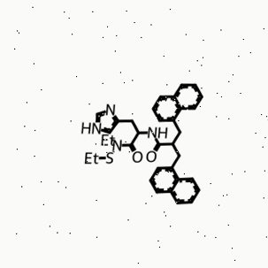 CCSN(CC)C(=O)C(Cc1c[nH]cn1)NC(=O)C(Cc1cccc2ccccc12)Cc1cccc2ccccc12